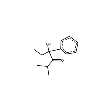 CCC(O)(C(=O)C(C)C)c1ccccc1